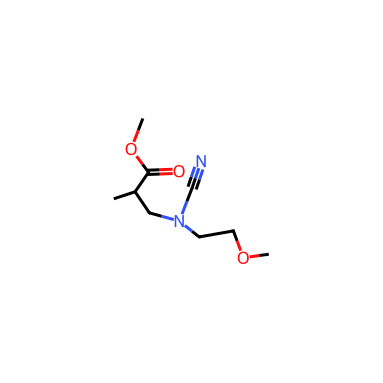 COCCN(C#N)CC(C)C(=O)OC